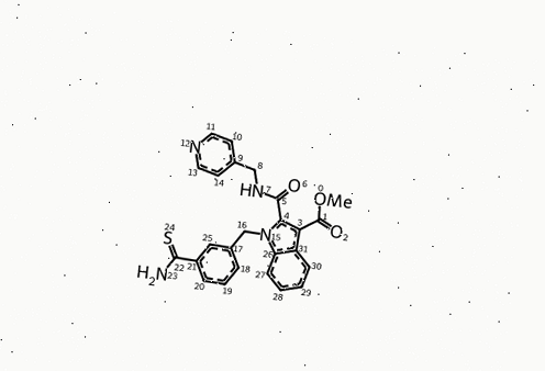 COC(=O)c1c(C(=O)NCc2ccncc2)n(Cc2cccc(C(N)=S)c2)c2ccccc12